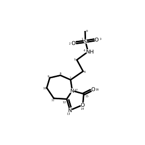 CS(=O)(=O)NCCC1CCCCc2noc(=O)n21